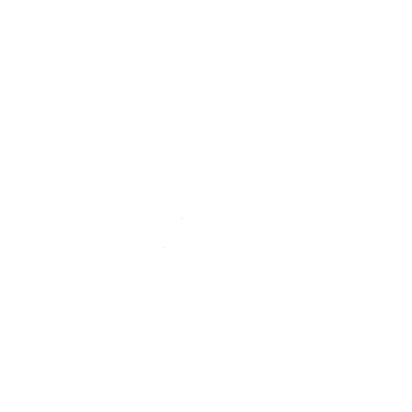 O=CC(Br)c1ccccc1Oc1ccccc1